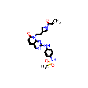 C=CC(=O)N1CC(CCn2c(=O)ccc3cnc(Nc4ccc(NS(C)(=O)=O)cc4)nc32)C1